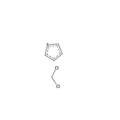 ClCCl.c1ccsc1